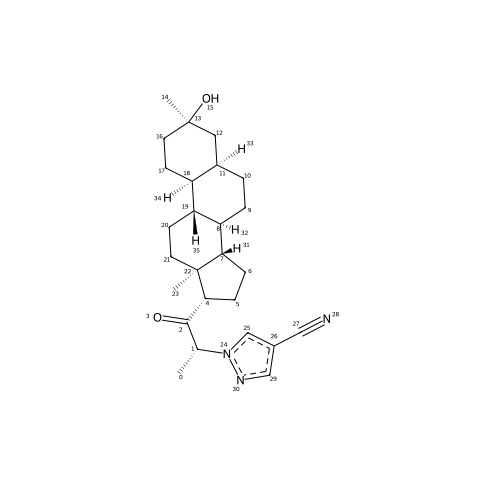 C[C@H](C(=O)[C@H]1CC[C@H]2[C@@H]3CC[C@@H]4C[C@](C)(O)CC[C@@H]4[C@H]3CC[C@]12C)n1cc(C#N)cn1